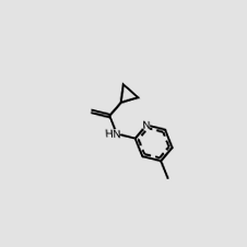 C=C(Nc1cc(C)ccn1)C1CC1